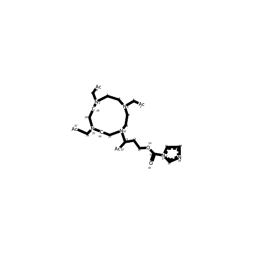 CC(=O)CN1CCN(CC(C)=O)CCN(C(CCOC(=O)n2ccnc2)C(C)=O)CCN(CC(C)=O)CC1